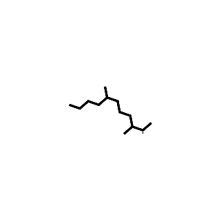 C[CH]C(C)CCCC(C)CCCC